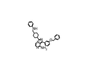 Nc1nccn2c(C3CCC(CNc4ccccc4)CC3)nc(-c3cccc(OCc4ccccc4)c3)c12